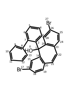 OC1(c2ccccc2-c2ccccc2)c2cc(Br)ccc2C=Cc2ccc(Br)cc21